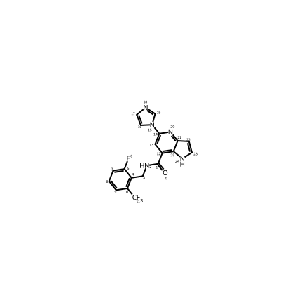 O=C(NCc1c(F)cccc1C(F)(F)F)c1cc(-n2ccnc2)nc2cc[nH]c12